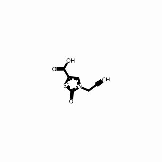 C#CCn1cc(C(=O)O)sc1=O